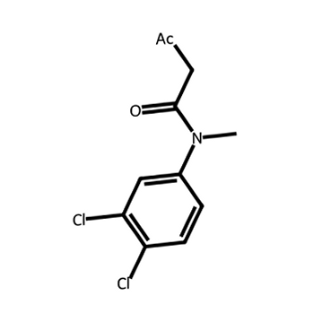 CC(=O)CC(=O)N(C)c1ccc(Cl)c(Cl)c1